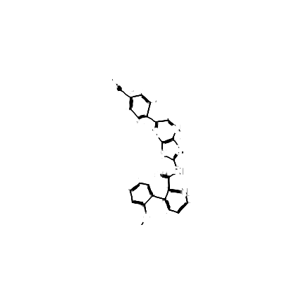 COc1ccccc1-c1cccnc1C(=O)Nc1nc2ncc(-c3ccc(C#N)cc3)nc2s1